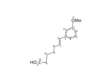 COc1cccc(/C=C/CCCCC(=O)O)c1